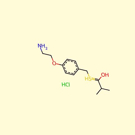 CC(C)C(O)=[SH]Cc1ccc(OCCN)cc1.Cl